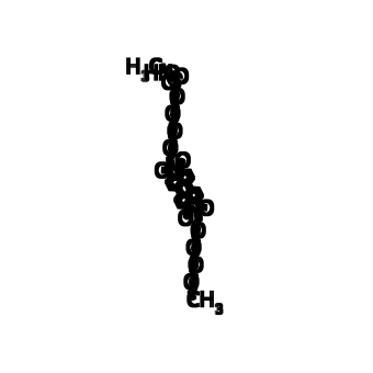 CCCOCCOCCOCCOCCN1C(=O)c2ccc3c4ccc5c6c(ccc(c7ccc(c2c37)C1=O)c64)C(=O)N(CCOCCOCCOCCOCCS(=O)(=O)ONCC)C5=O